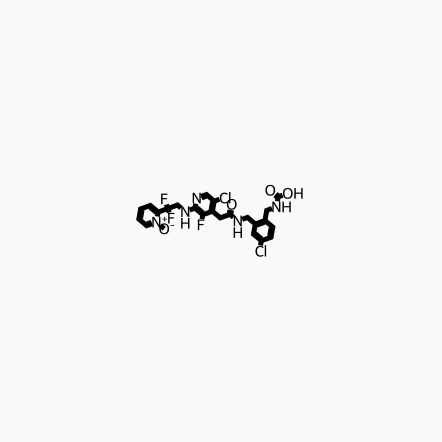 O=C(O)NCc1ccc(Cl)cc1CNC(=O)Cc1c(Cl)cnc(NCC(F)(F)c2cccc[n+]2[O-])c1F